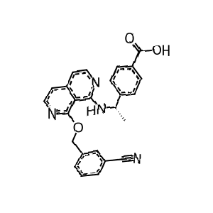 C[C@H](Nc1nccc2ccnc(OCc3cccc(C#N)c3)c12)c1ccc(C(=O)O)cc1